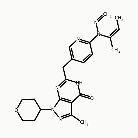 C=NN(/C(C)=C\C)c1ccc(Cc2nc3c(c(C)nn3C3CCOCC3)c(=O)[nH]2)cn1